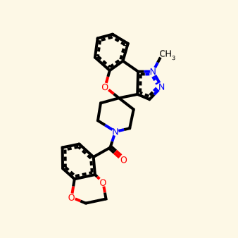 Cn1ncc2c1-c1ccccc1OC21CCN(C(=O)c2cccc3c2OCCO3)CC1